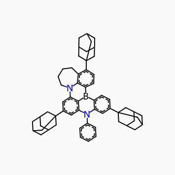 c1ccc(N2c3cc(C45CC6CC(CC(C6)C4)C5)ccc3B3c4ccc(C56CC7CC(CC(C7)C5)C6)c5c4N(CCCC5)c4cc(C56CC7CC(CC(C7)C5)C6)cc2c43)cc1